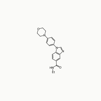 CCNC(=O)c1ccc2c(c1)ncn2-c1ccc(N2CCOCC2)cc1